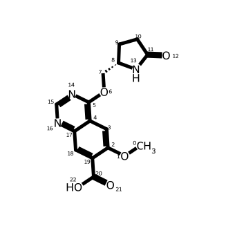 COc1cc2c(OC[C@@H]3CCC(=O)N3)ncnc2cc1C(=O)O